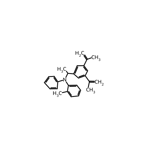 C=C(C)c1cc(C(=C)C)cc(C(C)N(c2ccccc2)c2ccccc2C)c1